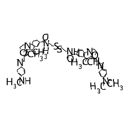 CNC1=CCC(/N=C/C=C/C23OCCN2c2ccc(C(=O)NCCSSCCNC(=O)c4ccc5c(c4)C(C)(C)C4(/C=C/C=Nc6ccc(N(C)C)cc6)OCCN54)cc2C3(C)C)C=C1